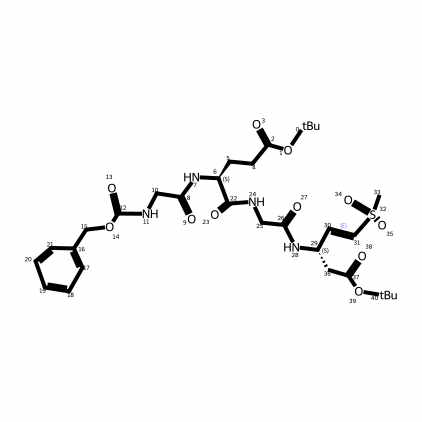 CC(C)(C)OC(=O)CC[C@H](NC(=O)CNC(=O)OCc1ccccc1)C(=O)NCC(=O)N[C@H](/C=C/S(C)(=O)=O)CC(=O)OC(C)(C)C